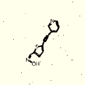 O/N=C\c1ccc(C#Cc2cccnc2)s1